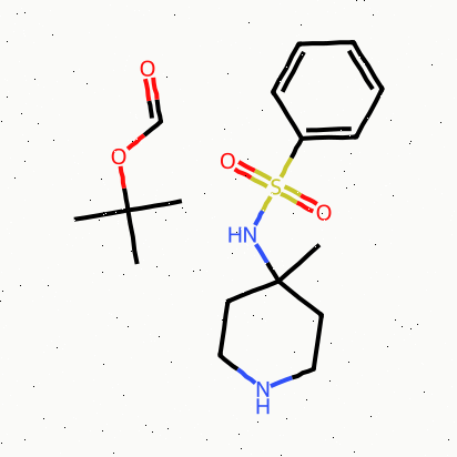 CC(C)(C)OC=O.CC1(NS(=O)(=O)c2ccccc2)CCNCC1